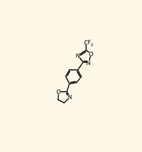 FC(F)(F)c1nc(-c2ccc(C3=NCCO3)cc2)no1